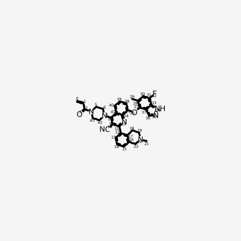 C=CC(=O)N1CCN(c2c(C#N)c(-c3cccc4c3CCN(C)C4)nc3c(Oc4c(C)cc(F)c5[nH]ncc45)cccc23)CC1